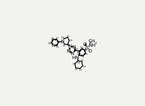 CNS(=O)(=O)c1ccc(NC2CCCCC2)c(-c2nnn(C3CCCN(c4cccnc4)C3)n2)c1